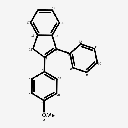 COc1ccc(C2=C(c3ccccc3)c3ccccc3C2)cc1